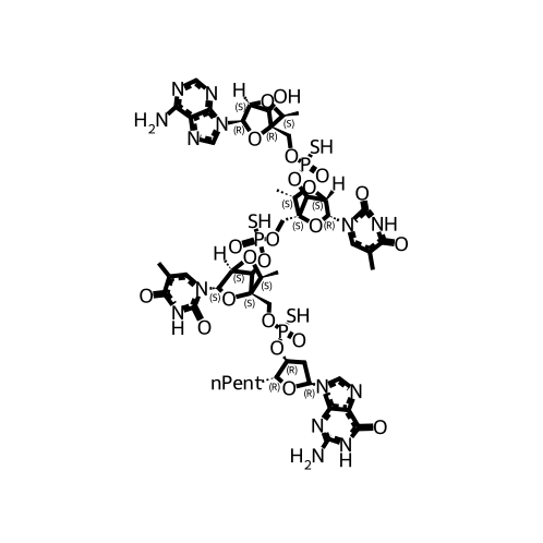 CCCCC[C@H]1O[C@@H](n2cnc3c(=O)[nH]c(N)nc32)C[C@H]1OP(=O)(S)OC[C@]12O[C@H](n3cc(C)c(=O)[nH]c3=O)[C@@H](O[C@H]1C)C2OP(=O)(S)OC[C@]12O[C@@H](n3cc(C)c(=O)[nH]c3=O)[C@@H](O[C@H]1C)C2OP(=O)(S)OC[C@]12O[C@@H](n3cnc4c(N)ncnc43)[C@@H](O[C@H]1C)C2O